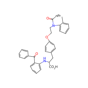 CCCC(=O)N(CCOc1ccc(CC(Nc2ccccc2C(=O)c2ccccc2)C(=O)O)cc1)c1ccccc1C